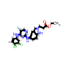 CCOC(=O)CCN1Cc2cc(Nc3ncc(F)c(Nc4ccc(Cl)c(Cl)c4)n3)ccc2N1